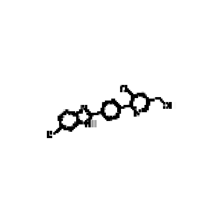 OCc1cnc(-c2ccc(-c3nc4ccc(Br)cc4[nH]3)cc2)c(Cl)c1